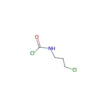 O=C(Cl)NCCCCl